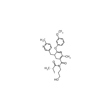 CC1=C(C(=O)N(CCCO)C(=O)[C@@H](C)I)CC(Cc2ccc(C)nc2)C(Oc2cccc(OC(F)(F)F)c2)=N1